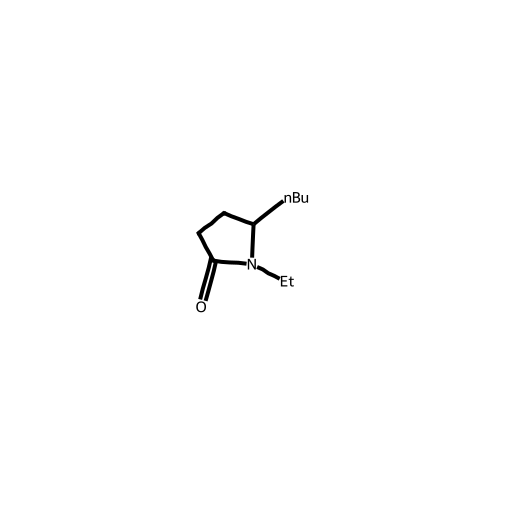 CCCCC1CCC(=O)N1CC